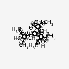 COCc1cc(C(C)(C)c2ccc(C(C)(c3cc(COC)c(O)c(C(C)=O)c3)c3cc(COC)c(O)c(C(C)=O)c3)cc2)cc(COC)c1O